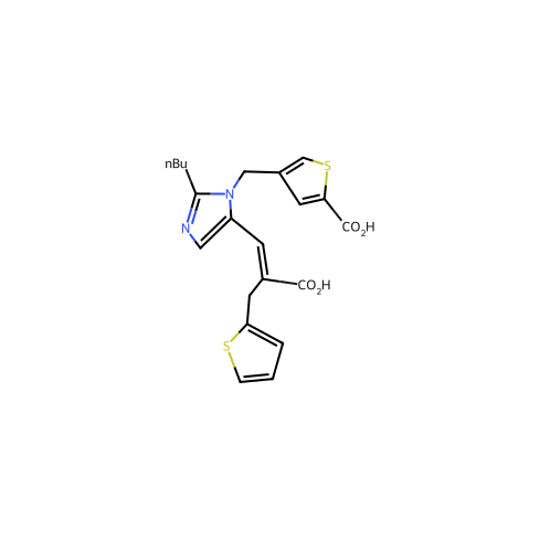 CCCCc1ncc(C=C(Cc2cccs2)C(=O)O)n1Cc1csc(C(=O)O)c1